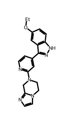 CCOc1ccc2[nH]nc(-c3ccnc(N4CCn5ccnc5C4)c3)c2c1